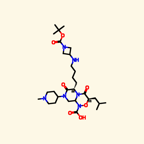 CC(C)C[C@H]1ON(C(=O)O)C2CN(C3CCN(C)CC3)C(=O)[C@H](CCCCNC3CN(C(=O)OC(C)(C)C)C3)N2C1=O